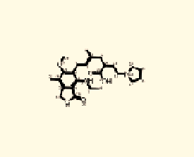 CCNc1c(C/C=C(\C)CC(CCN2CCCC2)C(=O)O)c(OC)c(C)c2c1C(=O)OC2